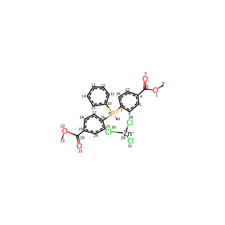 COC(=O)c1ccc([P+](C)(c2ccccc2)c2ccc(C(=O)OC)cc2)cc1.[Cl][Zn-]([Cl])[Cl]